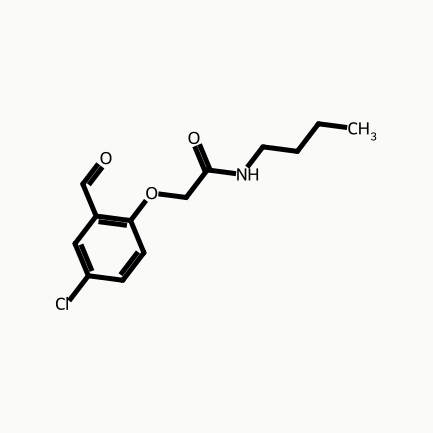 CCCCNC(=O)COc1ccc(Cl)cc1C=O